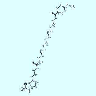 CCN1CCN(C(=O)CCOCCOCCOCCOCCNC(=O)CCCCC2SCC3NC(=O)NC32)CC1